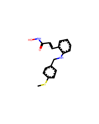 CSc1ccc(CNc2ccccc2/C=C/C(=O)NO)cc1